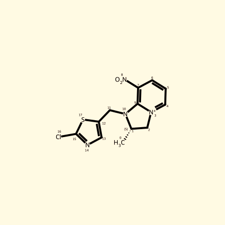 C[C@H]1C[n+]2cccc([N+](=O)[O-])c2N1Cc1cnc(Cl)s1